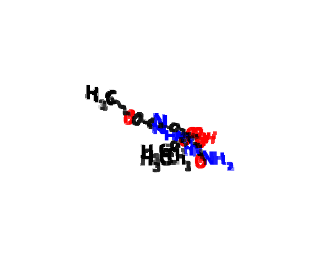 CCCCCCCOc1ccc(-c2cnc(-c3ccc(C[C@H](NC(=O)c4ccc(C(C)(C)C)cc4)C(=O)N[C@@H](CC(=O)NCC(N)=O)C(=O)O)cc3)nc2)cc1